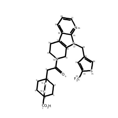 O=C(CC12CCC(C(=O)O)(CC1)CC2)N1CCc2c(n(Cc3csc(C(F)(F)F)c3)c3ncccc23)C1